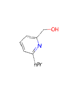 CCCc1cccc(CO)n1